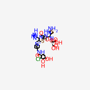 Nc1nc(/C(=N/O[C@@H](CC(=O)O)C(=O)O)C(=O)N[C@H]2C(=O)N3C(c4nnn[nH]4)=C(C[N+]45CCC(CNC(=O)c6ccc(O)c(O)c6Cl)(CC4)CC5)CS[C@H]23)cs1